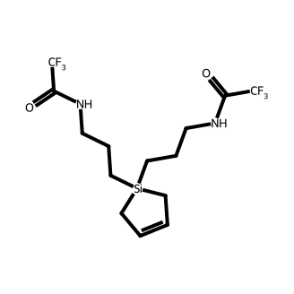 O=C(NCCC[Si]1(CCCNC(=O)C(F)(F)F)CC=CC1)C(F)(F)F